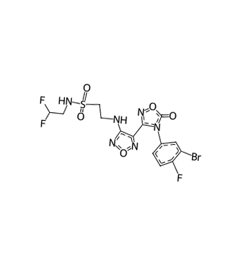 O=c1onc(-c2nonc2NCCS(=O)(=O)NCC(F)F)n1-c1ccc(F)c(Br)c1